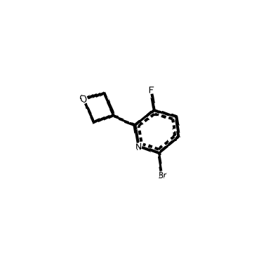 Fc1ccc(Br)nc1C1COC1